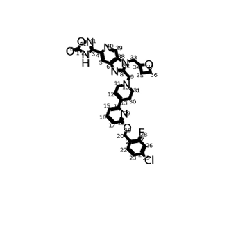 O=c1[nH]c(-c2cc3nc(CN4CC=C(c5cccc(OCc6ccc(Cl)cc6F)n5)CC4)n(CC4CCO4)c3cn2)no1